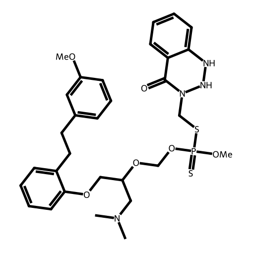 COc1cccc(CCc2ccccc2OCC(CN(C)C)OCOP(=S)(OC)SCN2NNc3ccccc3C2=O)c1